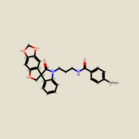 CCCCCc1ccc(C(=O)NCCCN2C(=O)C3(COc4cc5c(cc43)OCO5)c3ccccc32)cc1